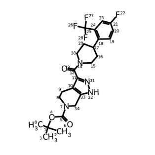 CC(C)(C)OC(=O)N1CCc2c(C(=O)N3CCC(c4ccc(F)cc4C(F)(F)F)CC3)n[nH]c2C1